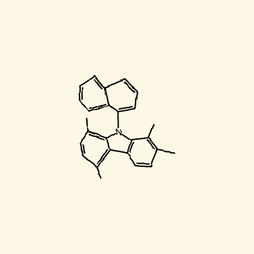 Cc1ccc2c3c(C)ccc(C)c3n(-c3cccc4ccccc34)c2c1C